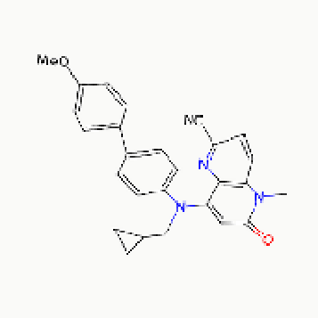 COc1ccc(-c2ccc(N(CC3CC3)c3cc(=O)n(C)c4ccc(C#N)nc34)cc2)cc1